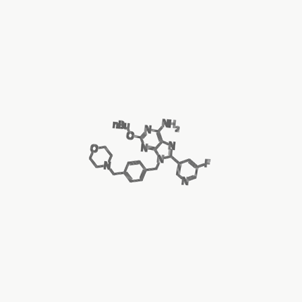 CCCCOc1nc(N)c2nc(-c3cncc(F)c3)n(Cc3ccc(CN4CCOCC4)cc3)c2n1